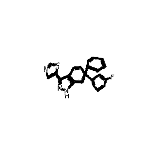 Fc1cccc(C2(c3ccccc3)C=Cc3c(-c4cncs4)n[nH]c3C2)c1